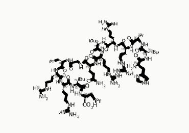 CC[C@H](C)[C@H](NC(=O)[C@H](CCCNC(=N)N)NC(=O)[C@H](CCCNC(=N)N)NC(=O)[C@H](CC(C)C)NC(=O)CNC(=O)[C@H](CCC(N)=O)NC(=O)[C@H](CCCNC(=N)N)NC(=O)[C@@H](NC(=O)[C@H](CCCNC(=N)N)NC(=O)[C@H](CCCNC(=N)N)NC(=O)[C@@H](NC(=O)[C@@H](NC(=O)[C@@H](N)Cc1c[nH]cn1)[C@@H](C)CC)C(C)C)[C@@H](C)CC)C(=O)N[C@@H](CC(C)C)C(=O)O